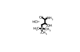 C[N+](C)(C)CC(O)C(N)Cl.Cl